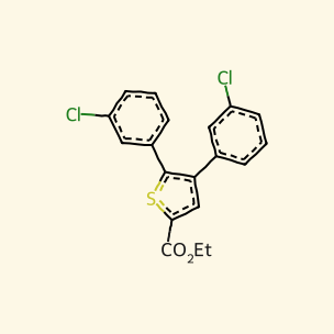 CCOC(=O)c1cc(-c2cccc(Cl)c2)c(-c2cccc(Cl)c2)s1